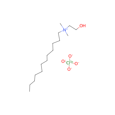 CCCCCCCCCCCC[N+](C)(C)CCO.[O-][Cl+3]([O-])([O-])[O-]